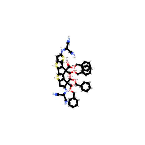 N#CC(C#N)=NC1=Cc2sc3c(c2C1(C(=O)OCc1ccccc1)C(=O)OCc1ccccc1)C(C(=O)OCc1ccccc1)(C(=O)OCc1ccccc1)c1c-3sc2cc(N=C(C#N)C#N)sc12